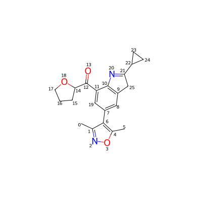 Cc1noc(C)c1-c1cc2c(c(C(=O)C3CCCO3)c1)N=C(C1CC1)C2